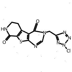 O=C1NCCc2c1sc1ncn(Cc3nnn(Cl)n3)c(=O)c21